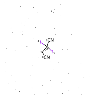 N#CCC(I)(I)C#N